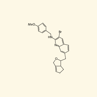 COc1ccc(CNc2nc3cc(CC4OCC5=C[CH]CC54)ccc3cc2Br)cc1